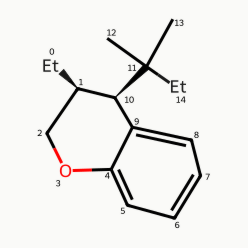 CC[C@@H]1COc2ccccc2[C@@H]1C(C)(C)CC